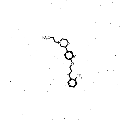 Cl.O=C(O)CCN1CCOC(c2ccc(OCCCc3ccccc3C(F)(F)F)cc2)C1